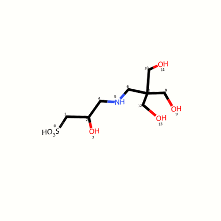 O=S(=O)(O)CC(O)CNCC(CO)(CO)CO